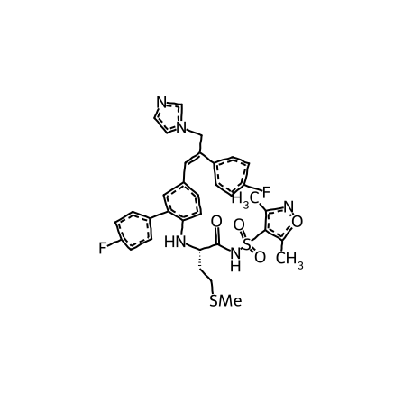 CSCC[C@H](Nc1ccc(/C=C(/Cn2ccnc2)c2ccc(F)cc2)cc1-c1ccc(F)cc1)C(=O)NS(=O)(=O)c1c(C)noc1C